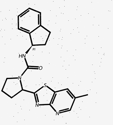 Cc1cnc2nc(C3CCCN3C(=O)N[C@@H]3CCc4ccccc43)sc2c1